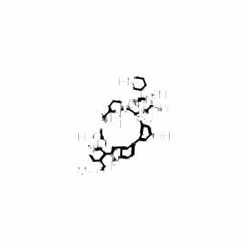 CCn1c(-c2cnccc2COC)c2c3cc(ccc31)-c1cc(O)cc(c1)C[C@H](NC(=O)[C@H](C(C)C)N(C)C(=O)[C@@H]1CCCNC1)C(=O)N1CCC[C@H](N1)C(=O)OCC(C)(C)C2